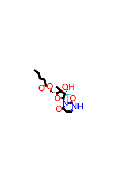 CCCCC(=O)OC[C@H]1OC(n2c(=O)cc[nH]c2=O)[C@](C)(F)C1(C)O